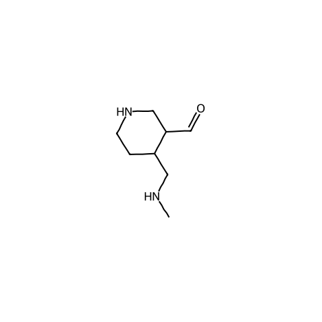 CNCC1CCNCC1C=O